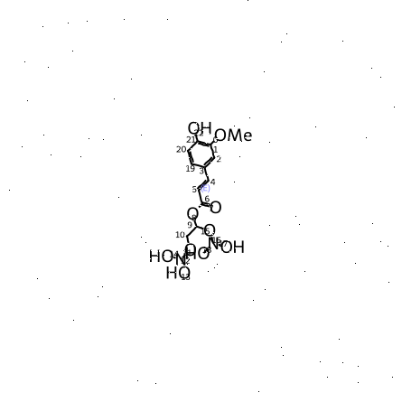 COc1cc(/C=C/C(=O)OC(CON(O)O)ON(O)O)ccc1O